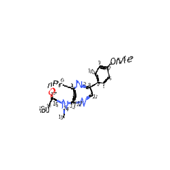 CCCc1nc(-c2ccc(OC)cc2)cnc1N(C)C(=O)C(C)CC